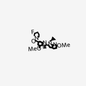 COc1ccc2cc(-c3nc4cc(C(=O)N5CCC[C@H](F)C5)cc(OC)c4n3C)n(CC3CC3)c2n1